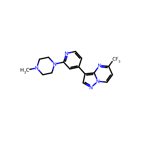 CN1CCN(c2cc(-c3cnn4ccc(C(F)(F)F)nc34)ccn2)CC1